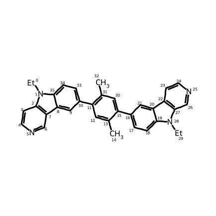 CCn1c2ccncc2c2cc(-c3cc(C)c(-c4ccc5c(c4)c4ccncc4n5CC)cc3C)ccc21